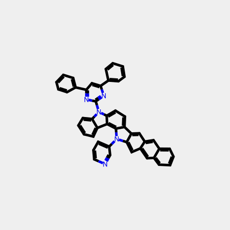 c1ccc(-c2cc(-c3ccccc3)nc(-n3c4ccccc4c4c3ccc3c5cc6cc7ccccc7cc6cc5n(-c5cccnc5)c34)n2)cc1